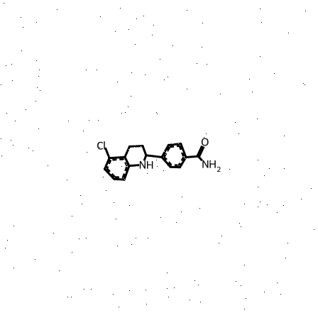 NC(=O)c1ccc(C2CCc3c(Cl)cccc3N2)cc1